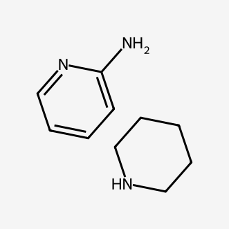 C1CCNCC1.Nc1ccccn1